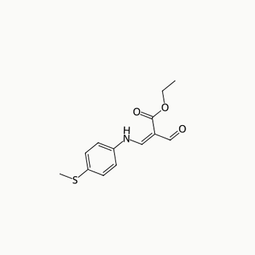 CCOC(=O)/C(C=O)=C\Nc1ccc(SC)cc1